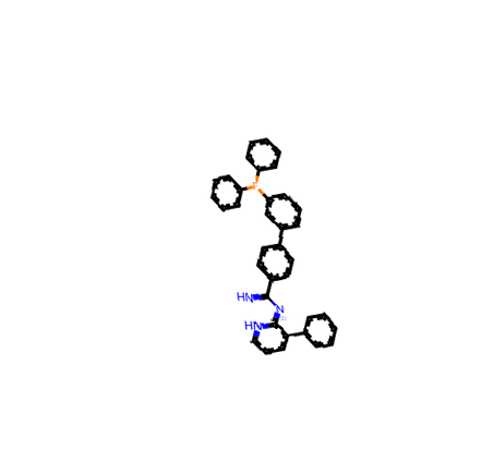 N=C(/N=c1\[nH]cccc1-c1ccccc1)c1ccc(-c2cccc(P(c3ccccc3)c3ccccc3)c2)cc1